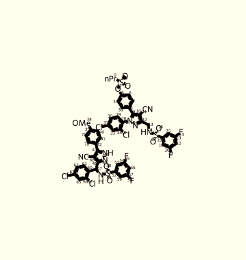 CCCS(=O)(=O)Oc1ccc(-c2c(C#N)c(CNS(=O)(=O)c3cc(F)cc(F)c3)nn2-c2ccc(Cl)cc2Cl)cc1.COc1ccc(-c2[nH]nc(C(NS(=O)(=O)c3cc(F)cc(F)c3)c3ccc(Cl)cc3Cl)c2C#N)cc1